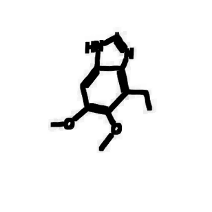 CCc1c(OC)c(OC)cc2[nH][c]nc12